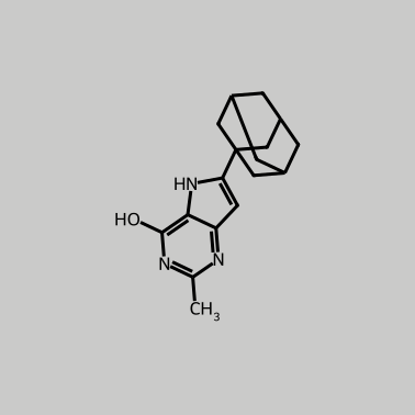 Cc1nc(O)c2[nH]c(C34CC5CC(CC(C5)C3)C4)cc2n1